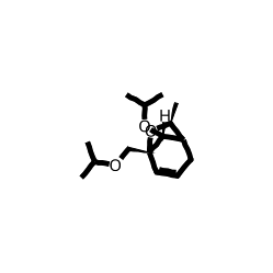 CC(C)OC[C@@]12C=CCC([C@H](C)O1)[C@H]2OC(C)C